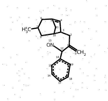 C=C(CC1C=C2CC(C)CC1C2)C(N=O)c1ccccc1